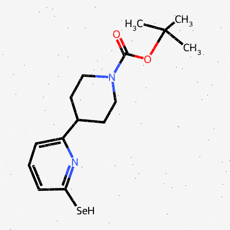 CC(C)(C)OC(=O)N1CCC(c2cccc([SeH])n2)CC1